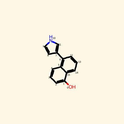 Oc1cccc2c(-c3c[c][nH]c3)cccc12